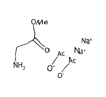 CC(=O)[O-].CC(=O)[O-].COC(=O)CN.[Na+].[Na+]